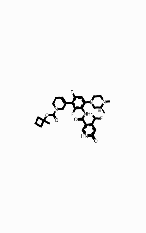 C[C@H]1CN(c2cc(F)c(C3=CCCN(C(=O)OC4(C)CCC4)C3)c(F)c2NC(=O)c2c[nH]c(=O)cc2C(F)F)CCN1C